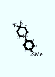 CSc1ccc(N2CCC(F)(F)CC2)cc1